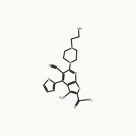 N#Cc1c(N2CCN(CCO)CC2)nc2sc(C(N)=O)c(N)c2c1-c1cccs1